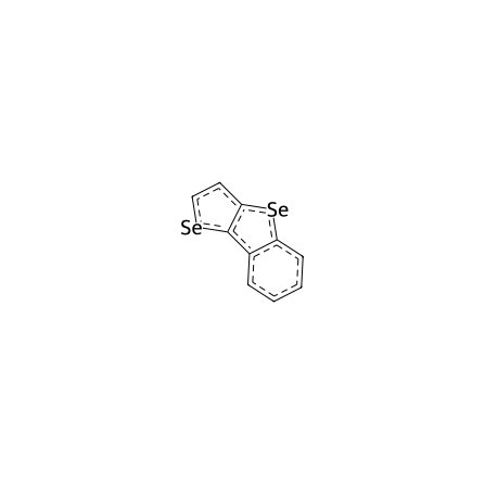 c1ccc2c(c1)[se]c1cc[se]c12